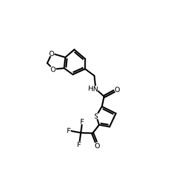 O=C(NCc1ccc2c(c1)OCO2)c1ccc(C(=O)C(F)(F)F)s1